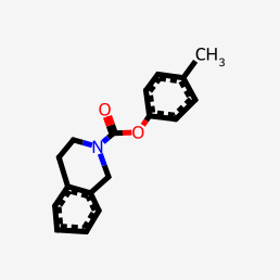 Cc1ccc(OC(=O)N2CCc3ccccc3C2)cc1